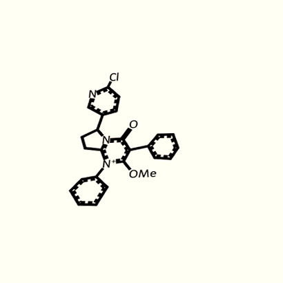 COc1c(-c2ccccc2)c(=O)n2c([n+]1-c1ccccc1)CCC2c1ccc(Cl)nc1